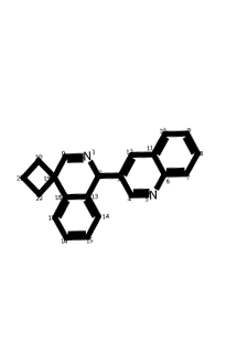 C1=NC(c2cnc3ccccc3c2)c2ccccc2C12CCC2